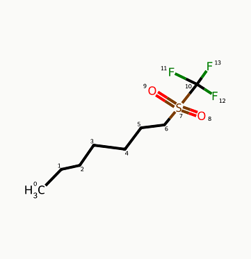 CCCCCCCS(=O)(=O)C(F)(F)F